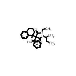 CCOC(=O)C(C(=O)O)(C(=O)OC(C)CC)C1(Sc2ccccc2)CCCc2ccccc21